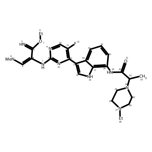 CCOC(=N)/C(=C\NC)Nc1ncc(F)c(-c2c[nH]c3c(NC(=O)C(C)N4CCN(CC)CC4)cccc23)n1